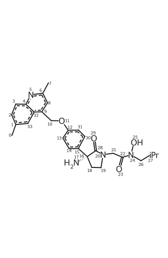 Cc1ccc2nc(C)cc(COc3ccc([C@]4(N)CCN(CC(=O)N(O)CC(C)C)C4=O)cc3)c2c1